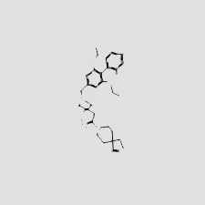 CCOc1cc(CN2CC3(CC(N4CCC(CC)(C(=O)O)CC4)=NO3)C2)cc(OCC)c1-c1ccc(F)cc1F